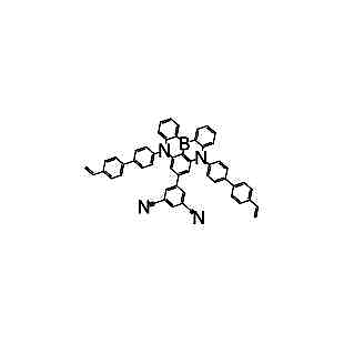 C=Cc1ccc(-c2ccc(N3c4ccccc4B4c5ccccc5N(c5ccc(-c6ccc(C=C)cc6)cc5)c5cc(-c6cc(C#N)cc(C#N)c6)cc3c54)cc2)cc1